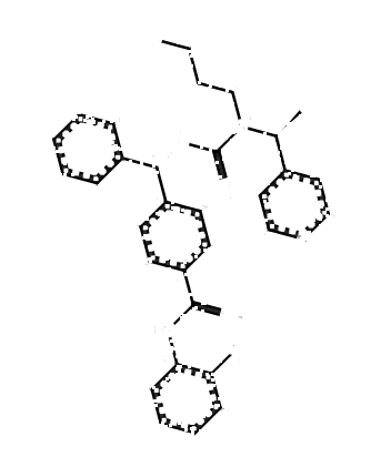 C[C@@H](c1ccncc1)N(CCCO)C(=O)O[C@@H](c1ccccc1)c1ccc(C(=O)Nc2ccccc2N)cc1